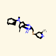 Cc1cc(N(C)c2ccccc2)cc2nc(CSc3ccnc(C(F)(F)F)c3)[nH]c12